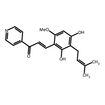 COc1cc(O)c(CC=C(C)C)c(O)c1C=CC(=O)c1ccncc1